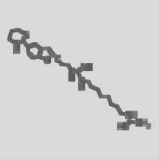 N=C(N)NCCCCCCCCNC(=N)NCCCc1cc2cc(C3=NCCCN3)ccc2o1